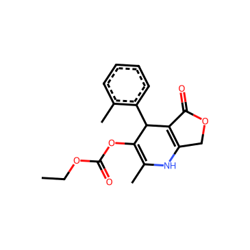 CCOC(=O)OC1=C(C)NC2=C(C(=O)OC2)C1c1ccccc1C